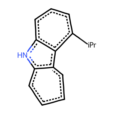 CC(C)c1cccc2[nH]c3ccccc3c12